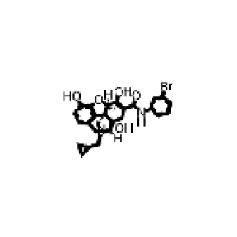 O=C(Nc1cccc(Br)c1)C1=C(O)[C@@H]2Oc3c(O)ccc4c3[C@@]23CCN(CC2CC2)[C@H](C4)[C@]3(O)C1